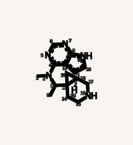 CC(N(C)c1ncnc2[nH]ccc12)C12CCNC[C@@H]1C2